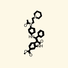 COC(=O)c1ccc2c(c1)NC(=O)C2=C(Nc1ccc(N(CCN2CCCCC2)C(C)=O)cc1)c1ccccc1